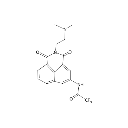 CN(C)CCN1C(=O)c2cccc3cc(NC(=O)C(F)(F)F)cc(c23)C1=O